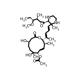 CC[C@H](OC)[C@@H](C)[C@H]1O[C@@H]1C1NCCNC1(C)/C=C/C=C(\C)[C@H]1OC(=O)C[C@H](O)CC[C@@](C)(O)[C@@H](OC(C)=O)/C=C/[C@@H]1C